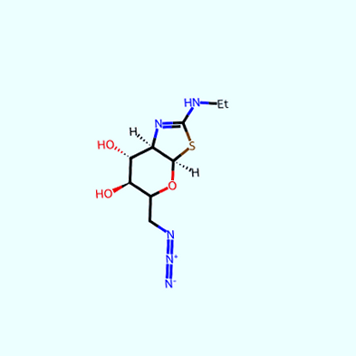 CCNC1=N[C@@H]2[C@@H](O)[C@H](O)C(CN=[N+]=[N-])O[C@@H]2S1